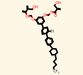 C=C(CO)C(=C)OCOc1cc(OCOC(=O)C(=C)CO)cc(-c2ccc(-c3ccc(C4CCC(CCCCC(F)(F)F)CC4)cc3)c(CC)c2)c1